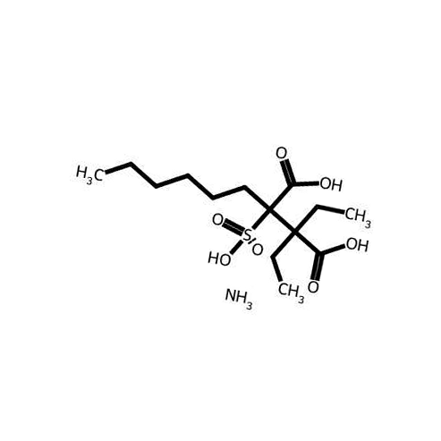 CCCCCCC(C(=O)O)(C(CC)(CC)C(=O)O)S(=O)(=O)O.N